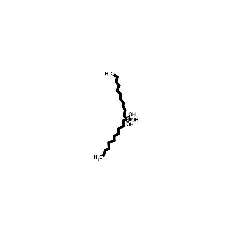 CCCCCCCCCCCP(O)(O)(O)CCCCCCCCCCC